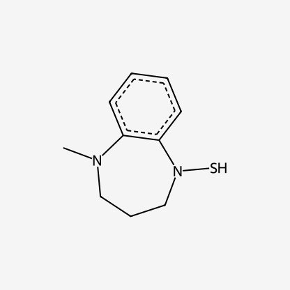 CN1CCCN(S)c2ccccc21